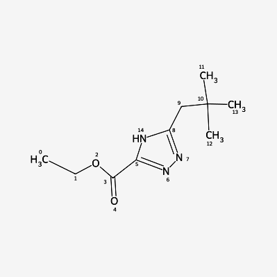 CCOC(=O)c1nnc(CC(C)(C)C)[nH]1